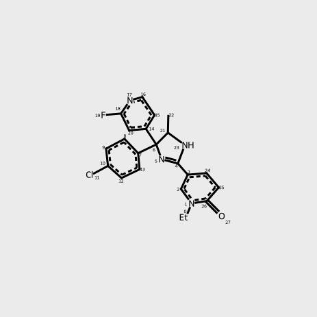 CCn1cc(C2=NC(c3ccc(Cl)cc3)(c3ccnc(F)c3)C(C)N2)ccc1=O